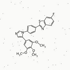 COc1cc(-c2cncn2-c2ccc(-c3nc4ccc(F)cc4s3)cc2)cc(OC)c1OC